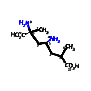 CC(C[C@@H](N)C[C@](C)(N)C(=O)O)C(=O)O